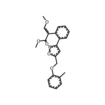 CO/C=C(/C(=O)OC)c1ccccc1-c1cc(COc2ccccc2C)on1